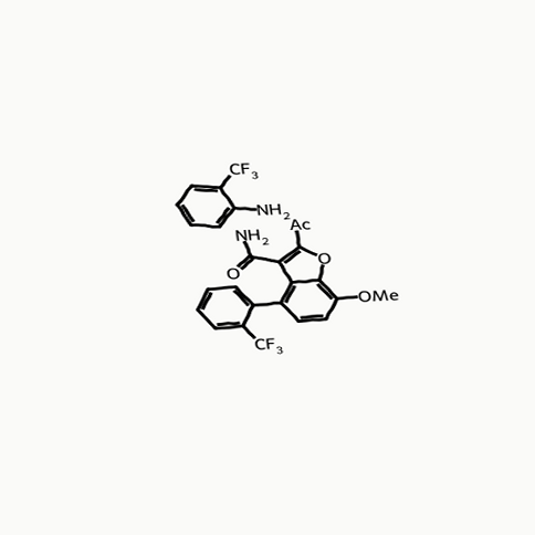 COc1ccc(-c2ccccc2C(F)(F)F)c2c(C(N)=O)c(C(C)=O)oc12.Nc1ccccc1C(F)(F)F